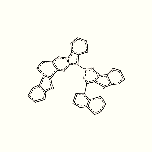 c1ccc2c(-c3nc(-n4c5ccccc5c5cc6ccc7c8ccccc8oc7c6cc54)nc4c3sc3ccccc34)cccc2c1